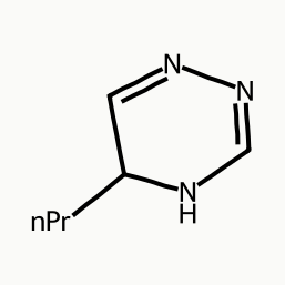 CCCC1C=NN=CN1